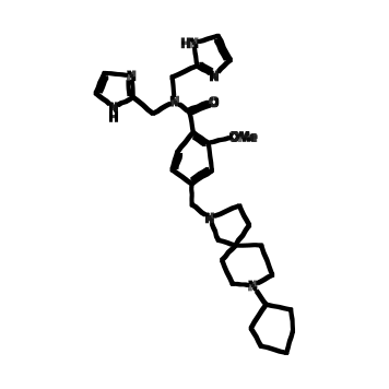 COc1cc(CN2CCC3(CCN(C4CCCCC4)CC3)C2)ccc1C(=O)N(Cc1ncc[nH]1)Cc1ncc[nH]1